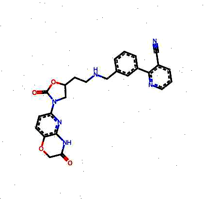 N#Cc1cccnc1-c1cccc(CNCCC2CN(c3ccc4c(n3)NC(=O)CO4)C(=O)O2)c1